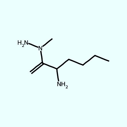 C=C(C(N)CCCC)N(C)N